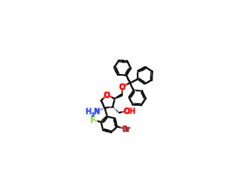 N[C@]1(c2cc(Br)ccc2F)CO[C@@H](COC(c2ccccc2)(c2ccccc2)c2ccccc2)[C@@H]1CO